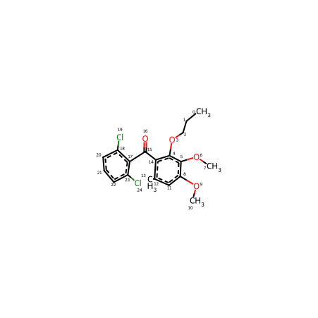 CCCOc1c(OC)c(OC)cc(C)c1C(=O)c1c(Cl)cccc1Cl